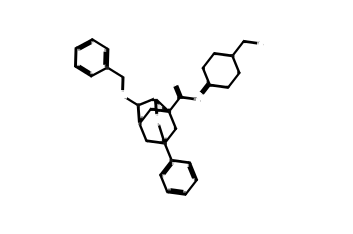 NCC1CCC(=NC(=S)C23CC4CC(c5ccccc5)(CC2C4SCc2ccccc2)C3)CC1